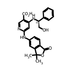 CC1(C)OC(=O)c2ccc(Nc3cc(N[C@H](CO)c4ccccc4)c(C(=O)O)cn3)cc21